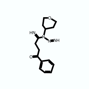 N=NN(C(=N)CCC(=O)c1ccccc1)C1CCOCC1